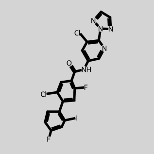 O=C(Nc1cnc(-n2nccn2)c(Cl)c1)c1cc(Cl)c(-c2ccc(F)cc2I)cc1F